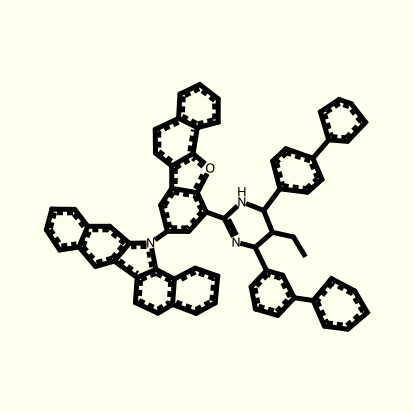 CCC1C(c2cccc(-c3ccccc3)c2)N=C(c2cc(-n3c4cc5ccccc5cc4c4ccc5ccccc5c43)cc3c2oc2c4ccccc4ccc32)NC1c1ccc(-c2ccccc2)cc1